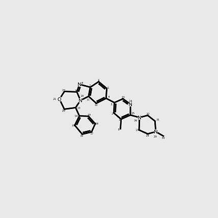 Cc1cc(-c2ccc3nc4n(c3c2)C(c2ccccc2)COC4)cnc1N1CCN(C)CC1